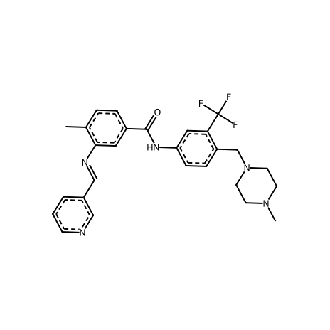 Cc1ccc(C(=O)Nc2ccc(CN3CCN(C)CC3)c(C(F)(F)F)c2)cc1/N=C/c1cccnc1